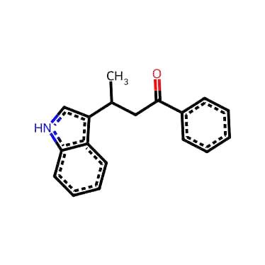 CC(CC(=O)c1ccccc1)c1c[nH]c2ccccc12